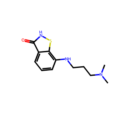 CN(C)CCCNc1cccc2c(=O)[nH]sc12